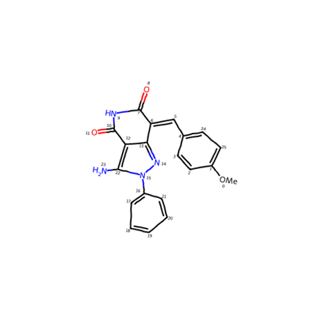 COc1ccc(/C=C2/C(=O)NC(=O)c3c2nn(-c2ccccc2)c3N)cc1